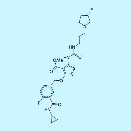 COC(=O)c1c(OCc2ccc(F)c(C(=O)NC3CC3)c2)nsc1NC(=O)NCCCN1CC[C@H](F)C1